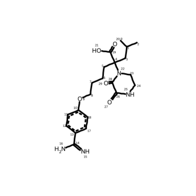 CC(C)CC(CCCCOc1ccc(C(=N)N)cc1)(C(=O)O)N1CCNC(=O)C1=O